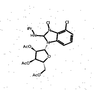 CC(=O)OC[C@H]1O[C@@H](N2c3cccc(Cl)c3N(Cl)C2NC(C)C)[C@H](OC(C)=O)[C@@H]1OC(C)=O